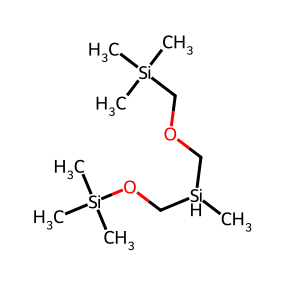 C[SiH](COC[Si](C)(C)C)CO[Si](C)(C)C